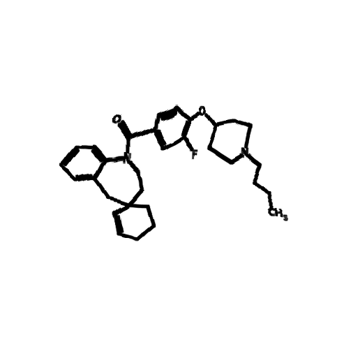 CCCCN1CCC(Oc2ccc(C(=O)N3CCC4(C=CCCC4)Cc4ccccc43)cc2F)CC1